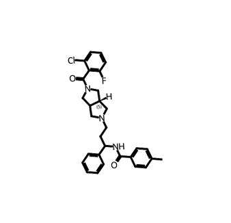 Cc1ccc(C(=O)NC(CCN2CC3CN(C(=O)c4c(F)cccc4Cl)C[C@@H]3C2)c2ccccc2)cc1